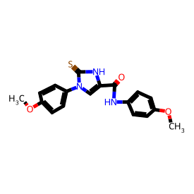 COc1ccc(NC(=O)c2cn(-c3ccc(OC)cc3)c(=S)[nH]2)cc1